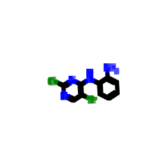 Nc1ccccc1Nc1nc(Cl)ncc1Br